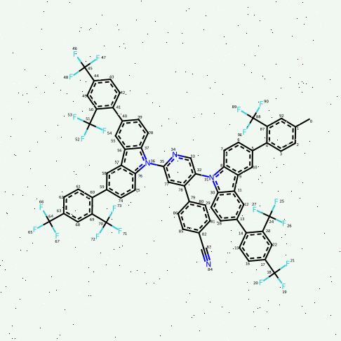 Cc1ccc(-c2ccc3c(c2)c2cc(-c4ccc(C(F)(F)F)cc4C(F)(F)F)ccc2n3-c2cnc(-n3c4ccc(-c5ccc(C(F)(F)F)cc5C(F)(F)F)cc4c4cc(-c5ccc(C(F)(F)F)cc5C(F)(F)F)ccc43)cc2-c2ccc(C#N)cc2)c(C(F)(F)F)c1